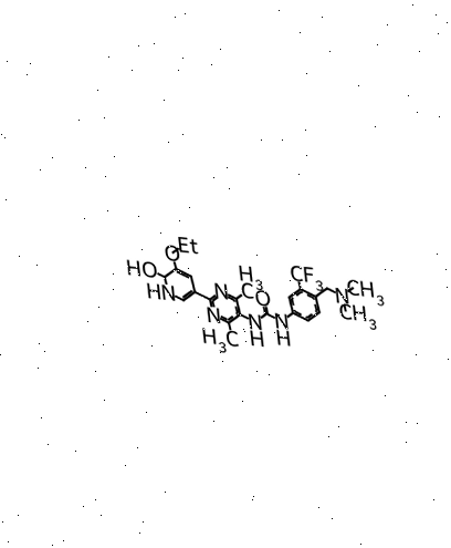 CCOC1=CC(c2nc(C)c(NC(=O)Nc3ccc(CN(C)C)c(C(F)(F)F)c3)c(C)n2)=CNC1O